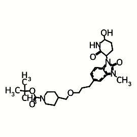 Cn1c(=O)n(C2CCC(O)NC2=O)c2ccc(CCCOCC3CCN(C(=O)OC(C)(C)C)CC3)cc21